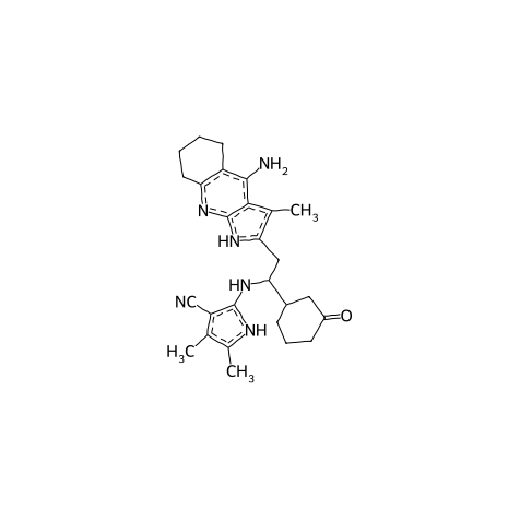 Cc1[nH]c(NC(Cc2[nH]c3nc4c(c(N)c3c2C)CCCC4)C2CCCC(=O)C2)c(C#N)c1C